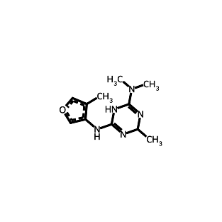 Cc1cocc1NC1=NC(C)N=C(N(C)C)N1